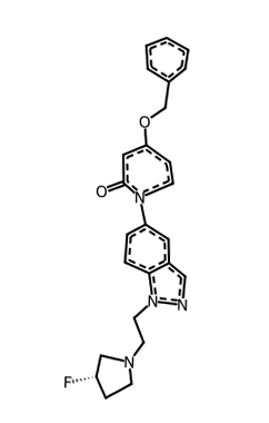 O=c1cc(OCc2ccccc2)ccn1-c1ccc2c(cnn2CCN2CC[C@H](F)C2)c1